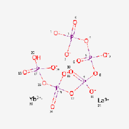 O=P([O-])([O-])OP(=O)([O-])OP(=O)([O-])OP(=O)([O-])OP(=O)([O-])O.[La+3].[Yb+3]